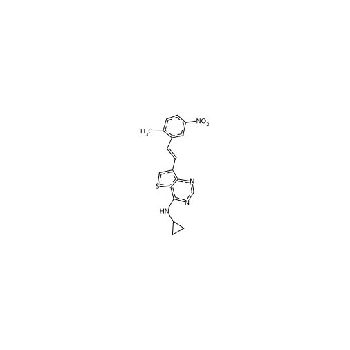 Cc1ccc([N+](=O)[O-])cc1C=Cc1csc2c(NC3CC3)ncnc12